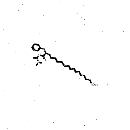 CCCCCCCCCCCCCCCCCCCCCCCCCC(Sc1ccccc1)C(=O)OC(C)N(C)C